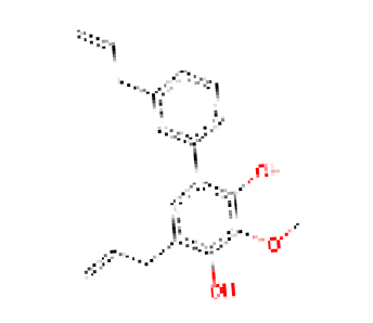 C=CCc1cccc(-c2cc(CC=C)c(O)c(OC)c2O)c1